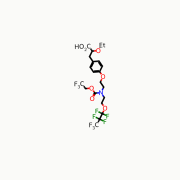 CCOC(Cc1ccc(OCCN(CCOC(F)(F)C(F)(F)C(F)(F)F)C(=O)OCC(F)(F)F)cc1)C(=O)O